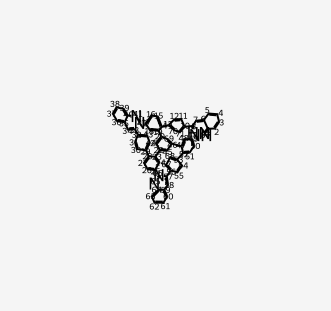 N=C1C=CC=C/C1=C/C(=N)c1ccc(-c2ccccc2-c2cc(-c3ccccc3-c3ccc(-c4cc5ccccc5nn4)cc3)cc(-c3ccccc3-c3ccc(-c4cc5ccccc5nn4)cc3)c2)cc1